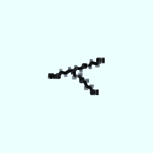 COCCCN(CCOCCCO)CCOCCCO